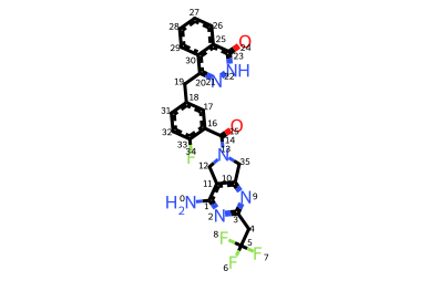 Nc1nc(CC(F)(F)F)nc2c1CN(C(=O)c1cc(Cc3n[nH]c(=O)c4ccccc34)ccc1F)C2